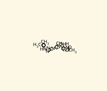 Cc1ccc(Nc2ncc3c(n2)CN([C@H]2CCN(C(O)c4ccnc(NS(C)(=O)=O)c4)[C@H](C)C2)C3)cc1C